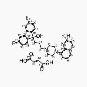 Cc1ccc2cccc(N3CCN(CCCC(O)(c4ccc(F)cc4)c4ccc(F)cc4)CC3)c2n1.O=C(O)C=CC(=O)O